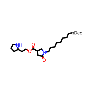 CCCCCCCCCCCCCCCCCCN1CC(C(=O)OCCC2CCCN2)CC1=O